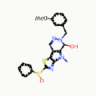 COc1cccc(CN2N=Cc3c(n(C)c4nc([S+]([O-])c5ccccc5)sc34)C2O)c1